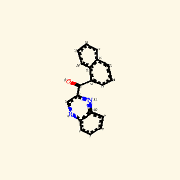 O=C(c1cnc2ccccc2n1)c1cccc2ccccc12